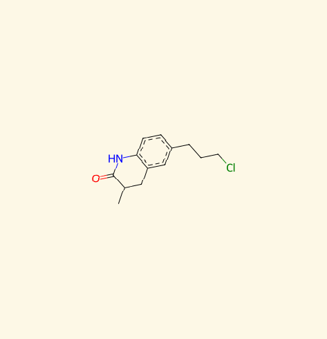 CC1Cc2cc(CCCCl)ccc2NC1=O